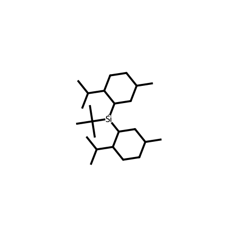 CC1CCC(C(C)C)C([Si](C2CC(C)CCC2C(C)C)C(C)(C)C)C1